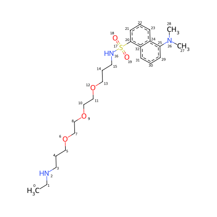 CCNCCCOCCOCCOCCCNS(=O)(=O)c1cccc2c(N(C)C)cccc12